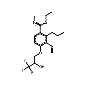 C=Nc1c(OCC(O)C(F)(F)F)ccc(/C(=N/C)SCC)c1CCC